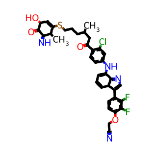 CC(CCCSC1=CC(O)C(=O)C(=N)C1C)CC(=O)c1ccc(NC2=CC=CC3C(c4ccc(OCC#N)c(F)c4F)=CN=C23)cc1Cl